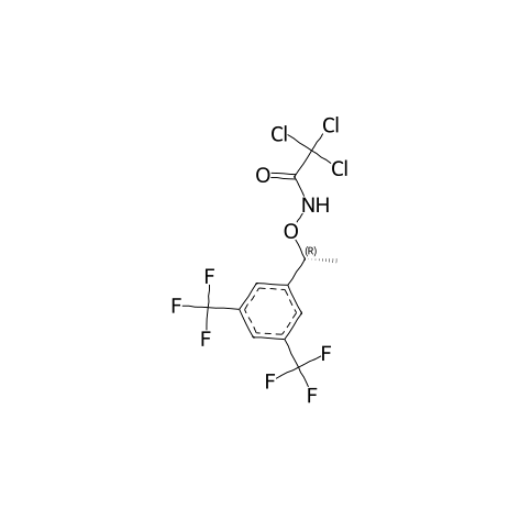 C[C@@H](ONC(=O)C(Cl)(Cl)Cl)c1cc(C(F)(F)F)cc(C(F)(F)F)c1